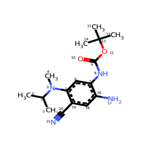 CC(C)N(C)c1cc(NC(=O)OC(C)(C)C)c(N)cc1C#N